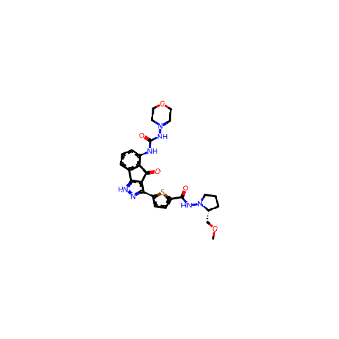 COC[C@H]1CCCN1NC(=O)c1ccc(-c2n[nH]c3c2C(=O)c2c(NC(=O)NN4CCOCC4)cccc2-3)s1